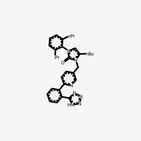 CCCCc1cn(-c2c(CCC)cccc2C(C)C)c(=O)n1Cc1ccc(-c2ccccc2-c2nnn[nH]2)nc1